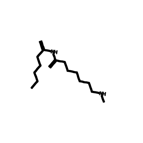 C=C(CCCCC)NC(=C)CCCCCCNC